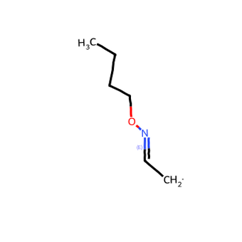 [CH2]/C=N/OCCCC